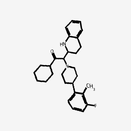 Cc1c(F)cccc1C1CCN(C(C(=O)C2CCCCC2)C2CCc3ccccc3N2)CC1